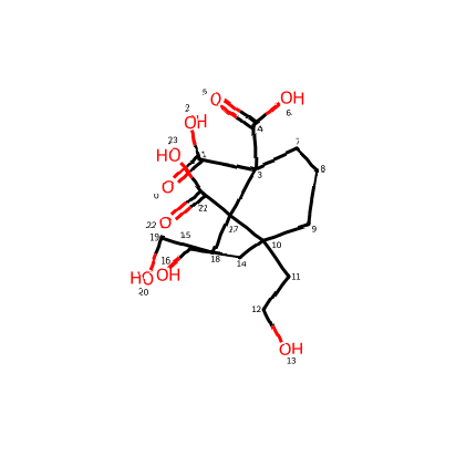 O=C(O)C1(C(=O)O)CCCC(CCO)(CCO)C1(CCO)C(=O)O